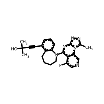 Cc1nnc2nc(N3CCCCc4c(C#CC(C)(C)O)cccc43)c3c(F)cncc3n12